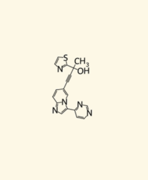 CC(O)(C#Cc1ccc2ncc(-c3ccncn3)n2c1)c1nccs1